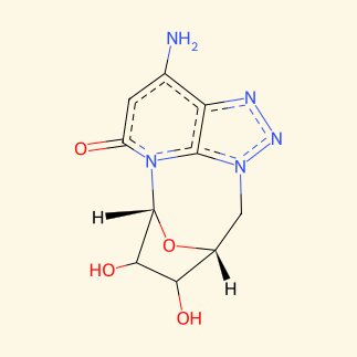 Nc1cc(=O)n2c3c1nnn3C[C@H]1O[C@@H]2C(O)C1O